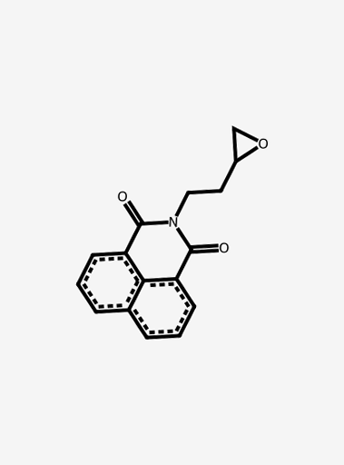 O=C1c2cccc3cccc(c23)C(=O)N1CCC1CO1